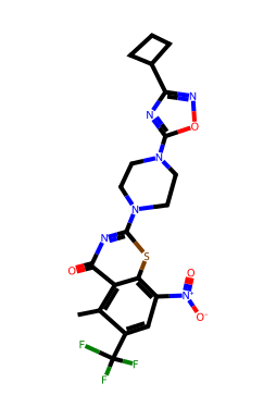 Cc1c(C(F)(F)F)cc([N+](=O)[O-])c2sc(N3CCN(c4nc(C5CCC5)no4)CC3)nc(=O)c12